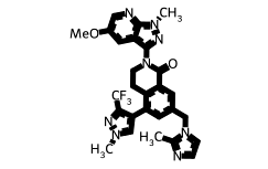 COc1cnc2c(c1)c(N1CCc3c(cc(Cn4ccnc4C)cc3-c3cn(C)nc3C(F)(F)F)C1=O)nn2C